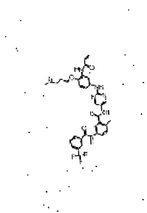 C=CC(=O)Nc1cc(Nc2ncc(NC(=O)c3cc(NC(=O)c4cccc(C(F)(F)F)c4)ccc3C)cn2)ccc1OCCCN(C)C